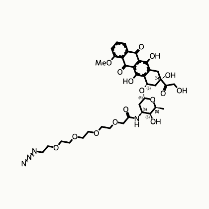 COc1cccc2c1C(=O)c1c(O)c3c(c(O)c1C2=O)C[C@@](O)(C(=O)CO)C[C@@H]3O[C@H]1C[C@H](NC(=O)COCCOCCOCCOCCN=[N+]=[N-])[C@H](O)[C@H](C)O1